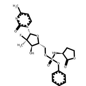 Cc1ccn([C@@H]2O[C@H](COP(=O)(N[C@H]3CCOC3=O)Oc3ccccc3)[C@@H](O)[C@@]2(C)F)c(=O)n1